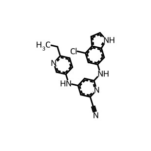 CCc1ccc(Nc2cc(C#N)nc(Nc3cc(Cl)c4cc[nH]c4c3)c2)cn1